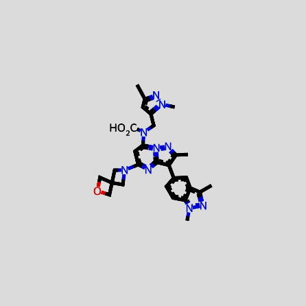 Cc1cc(CN(C(=O)O)c2cc(N3CC4(COC4)C3)nc3c(-c4ccc5c(c4)c(C)nn5C)c(C)nn23)n(C)n1